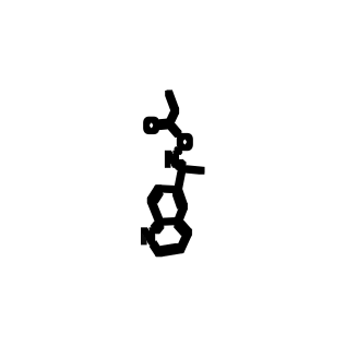 CCC(=O)ON=C(C)c1ccc2ncccc2c1